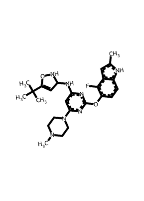 Cc1cc2c(F)c(Oc3nc(NC4C=C(C(C)(C)C)ON4)cc(N4CCN(C)CC4)n3)ccc2[nH]1